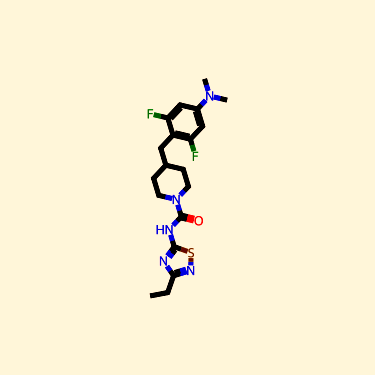 CCc1nsc(NC(=O)N2CCC(Cc3c(F)cc(N(C)C)cc3F)CC2)n1